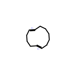 [CH]1/C=C/CCC/C=C/CCCC1